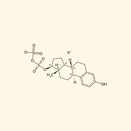 C[C@]12CC[C@@H]3c4ccc(O)cc4CC[C@H]3[C@@H]1CC[C@@H]2OS(=O)(=O)OS(=O)(=O)[O-].[K+]